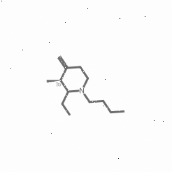 C=C1CCN(CCCC)C(CC)[C@H]1C